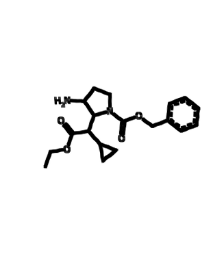 CCOC(=O)C(C1CC1)C1C(N)CCN1C(=O)OCc1ccccc1